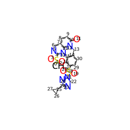 CS(=O)(=O)c1ncc2ccc(=O)n(Cc3ccc(S(=O)(=O)n4cnc(C5CC5)n4)cc3)c2n1